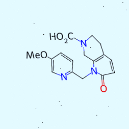 COc1ccc(Cn2c3c(ccc2=O)CCN(C(=O)O)C3)nc1